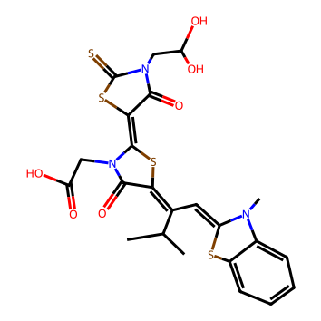 CC(C)C(/C=C1\Sc2ccccc2N1C)=c1/s/c(=C2/SC(=S)N(CC(O)O)C2=O)n(CC(=O)O)c1=O